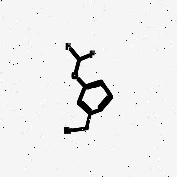 FC(F)Oc1cccc(CBr)c1